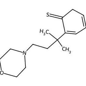 CC(C)(CCN1CCOCC1)C1=CC=CCC1=S